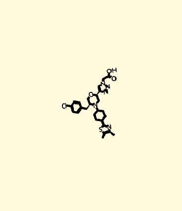 Cc1nc(C2CCC(N3C[C@H](c4cn(CC(=O)O)nn4)OC[C@@H]3Cc3ccc(Cl)cc3)CC2)sc1C